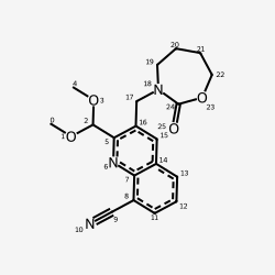 COC(OC)c1nc2c(C#N)cccc2cc1CN1CCCCOC1=O